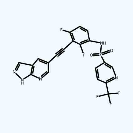 O=S(=O)(Nc1ccc(F)c(C#Cc2cnc3[nH]ncc3c2)c1F)c1ccc(C(F)(F)F)nc1